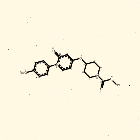 COc1ccc(-n2ccc(OC3CCN(C(=O)OC(C)C)CC3)cc2=O)cc1